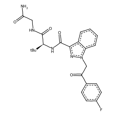 CC(C)(C)[C@H](NC(=O)c1nn(CC(=O)c2ccc(F)cc2)c2ccccc12)C(=O)NCC(N)=O